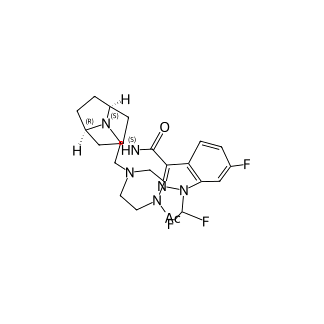 CC(=O)N1CCN(CCN2[C@@H]3CC[C@H]2C[C@H](NC(=O)c2nn(C(F)F)c4cc(F)ccc24)C3)CC1